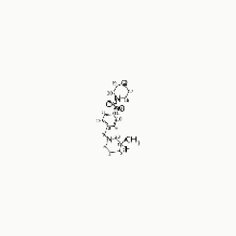 CC1(F)CCCN(Cc2ccc(S(=O)(=O)N3CCOCC3)cc2)C1